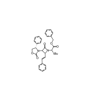 CC(C)(C)C(C(=O)OCc1ccccc1)N1C(=O)C(N2C(=O)OC[C@@H]2c2ccccc2)C1C=Cc1ccccc1